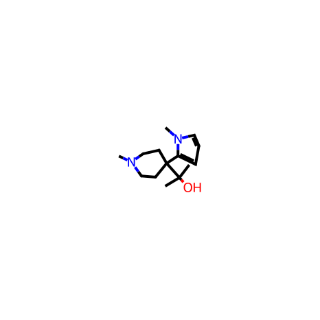 CN1CCC(c2cccn2C)(C(C)(C)O)CC1